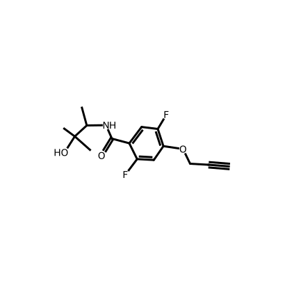 C#CCOc1cc(F)c(C(=O)NC(C)C(C)(C)O)cc1F